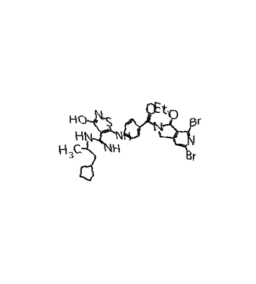 CCOC1c2c(cc(Br)nc2Br)CN1C(=O)c1ccc(Nc2snc(O)c2C(=N)NC(C)CC2CCCC2)cc1